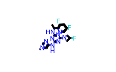 CC(Nc1nc(Nc2cn(C)cn2)nc(N2CC(F)C2)n1)c1ncc(F)cc1F